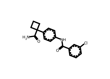 NC(=O)C1(c2ccc(NC(=O)c3cccc(Cl)c3)cc2)CCC1